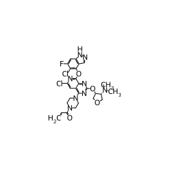 C=CC(=O)N1CCN(c2nc(O[C@@H]3COC[C@H]3N(C)C)nc3c(Oc4c(Cl)c(F)cc5[nH]ncc45)nc(Cl)cc23)CC1